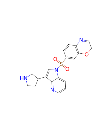 O=S(=O)(c1ccc2c(c1)OCC=N2)n1cc(C2CCNC2)c2ncccc21